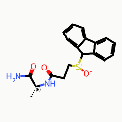 C[C@@H](NC(=O)CC[S+]([O-])C1c2ccccc2-c2ccccc21)C(N)=O